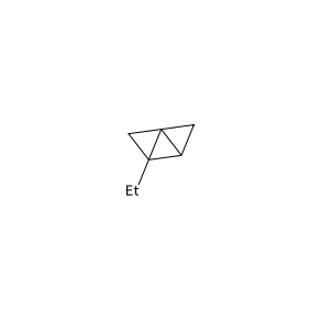 CCC12CC13CC23